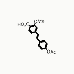 COc1cc(C=Cc2ccc(OC(C)=O)cc2)ccc1C(=O)O